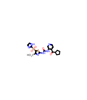 O=C(Nc1nc(C(=O)O)c(S(=O)(=O)c2ncc[nH]2)s1)Nc1cnccc1C(=O)C1CCCC1